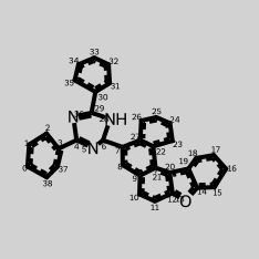 c1ccc(C2=NC(c3cc4ccc5oc6ccccc6c5c4c4ccccc34)NC(c3ccccc3)=N2)cc1